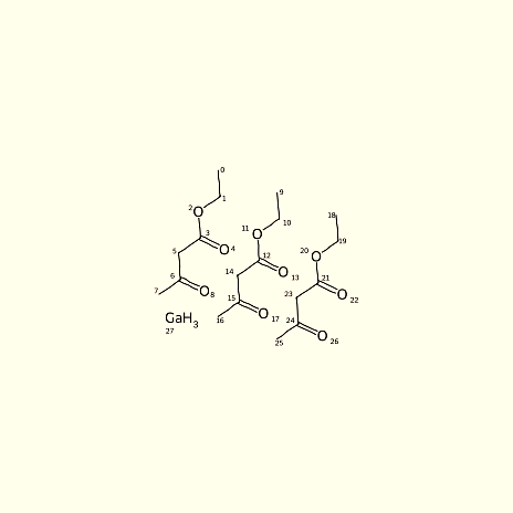 CCOC(=O)CC(C)=O.CCOC(=O)CC(C)=O.CCOC(=O)CC(C)=O.[GaH3]